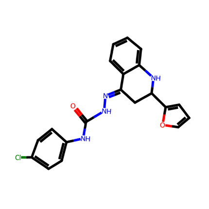 O=C(NN=C1CC(c2ccco2)Nc2ccccc21)Nc1ccc(Cl)cc1